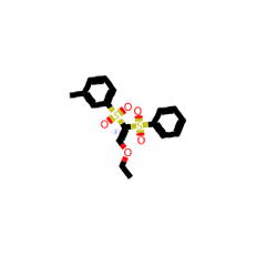 CCO/C=C(\S(=O)(=O)c1ccccc1)S(=O)(=O)c1cccc(C)c1